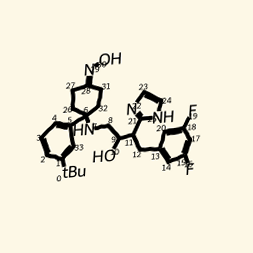 CC(C)(C)c1cccc(C2(NCC(O)C(Cc3cc(F)cc(F)c3)c3ncc[nH]3)CCC(=NO)CC2)c1